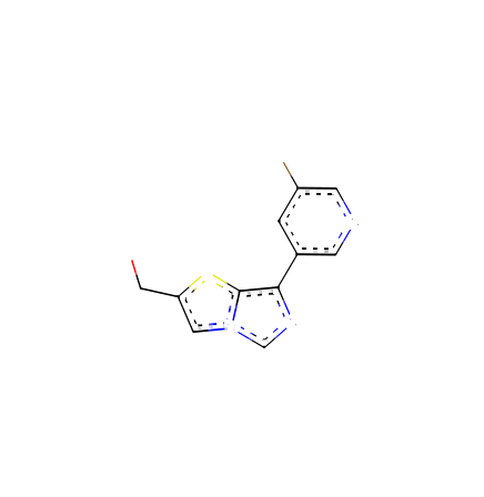 OCc1cn2cnc(-c3cncc(Br)c3)c2s1